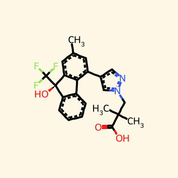 Cc1cc(-c2cnn(CC(C)(C)C(=O)O)c2)c2c(c1)[C@@](O)(C(F)(F)F)c1ccccc1-2